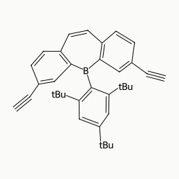 C#Cc1ccc2c(c1)B(c1c(C(C)(C)C)cc(C(C)(C)C)cc1C(C)(C)C)c1cc(C#C)ccc1C=C2